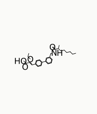 CCCCCCC(C)C(=O)NCc1cccc(-c2ccc(C=C(OCC)C(=O)O)cc2)c1